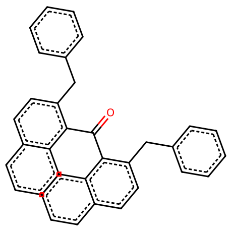 O=C(c1c(Cc2ccccc2)ccc2ccccc12)c1c(Cc2ccccc2)ccc2ccccc12